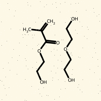 C=C(C)C(=O)OCCO.OCCOCCO